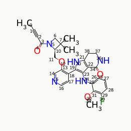 CC#CC(=O)N1CC(C)(C)[C@H]1COc1cnccc1-c1[nH]c2c(c1Nc1cccc(F)c1OC)C(=O)NCC2